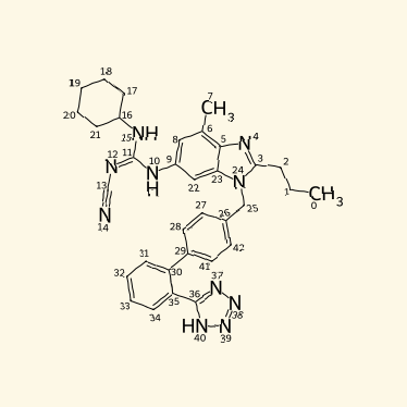 CCCc1nc2c(C)cc(N/C(=N\C#N)NC3CCCCC3)cc2n1Cc1ccc(-c2ccccc2-c2nnn[nH]2)cc1